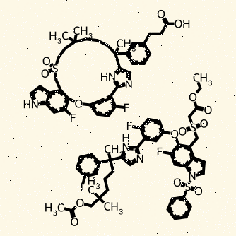 CC1(C)CCCC(C)(c2cccc(CCC(=O)O)c2)c2cnc([nH]2)-c2cc(ccc2F)Oc2c(F)cc3[nH]ccc3c2CS(=O)(=O)CC1.CCOC(=O)CS(=O)(=O)Cc1c(Oc2ccc(F)c(-c3ncc(C(C)(CCCC(C)(C)COC(C)=O)c4cccc(I)c4)[nH]3)c2)c(F)cc2c1ccn2S(=O)(=O)c1ccccc1